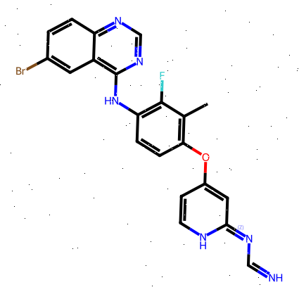 Cc1c(Oc2cc[nH]/c(=N\C=N)c2)ccc(Nc2ncnc3ccc(Br)cc23)c1F